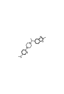 CSc1ccc(N2CCN(C(C)c3ccc4sc(C)nc4c3)CC2)nc1